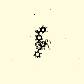 CC(C)(C)CC(NC(=O)N1CCOCC1)C(=O)NC1(C#N)CCN(C(=O)c2ccccc2)CC1